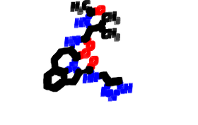 CC(=O)N[C@H](C(=O)N[C@H]1CCc2cccc3c2N(C1=O)[C@H](C(=O)NCc1c[nH]nn1)C3)C(C)C